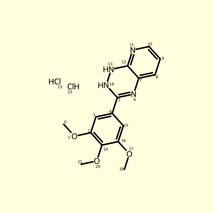 COc1cc(C2=Nc3cccnc3NN2)cc(OC)c1OC.Cl.Cl